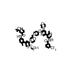 Cc1ccc(NC(=O)c2ccnc(C(C)(C)C#N)c2)cc1-c1cnc(OC[C@@H](C)O)c(N2CCOC(CN3CCC(Oc4ncc(-c5cc(NC(=O)c6cccc(C(F)(F)F)c6)cnc5C)cc4N4CCOCC4)CC3)C2)c1